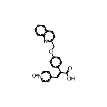 O=C(O)/C(=C/c1cc[n+]([O-])cc1)c1ccc(OCc2ccc3ccccc3n2)cc1